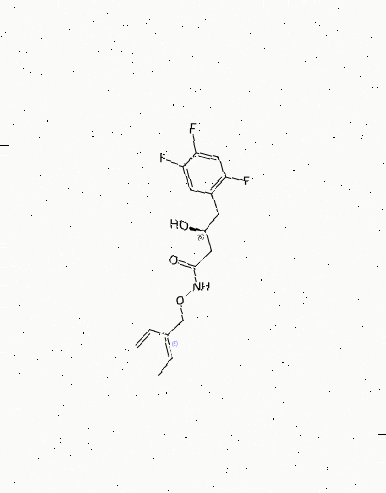 C=C/C(=C\C)CONC(=O)C[C@@H](O)Cc1cc(F)c(F)cc1F